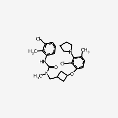 Cc1ccc(OC2CC(CN(C)C(=O)Nc3cccc(Cl)c3C)C2)c(Cl)c1N1CCCC1